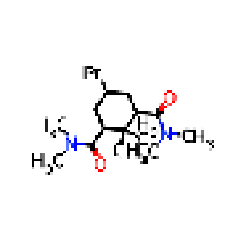 CC(C)C1CC(C(=O)N(C)C)C(C)(C)C(C(=O)N(C)C)C1